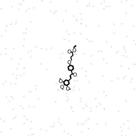 C=COC(=O)CCCOc1ccc(C(=O)C=Cc2cc(OC)c(OC)c(OC)c2)cc1